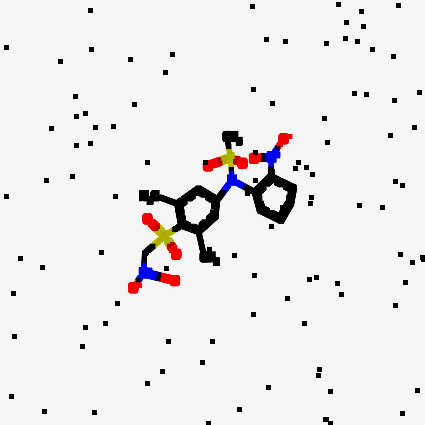 Cc1cc(N(c2ccccc2[N+](=O)[O-])S(C)(=O)=O)cc(C)c1S(=O)(=O)C[N+](=O)[O-]